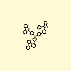 c1ccc(-c2ccccc2-c2ccccc2-c2ccc(N(c3ccc(-c4cccc(-c5oc6ccccc6c5-c5ccccc5)c4)cc3)c3ccc(-c4cc5ccccc5c5ccccc45)cc3)cc2)cc1